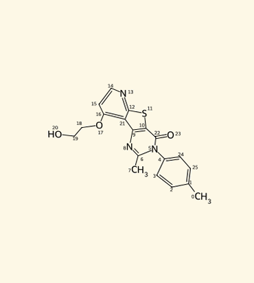 Cc1ccc(-n2c(C)nc3c(sc4nccc(OCCO)c43)c2=O)cc1